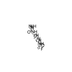 O=C(NCc1cnc(-c2ccc(NCC3(c4ncccc4F)CCC3)nn2)s1)c1cn[nH]n1